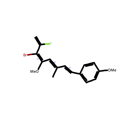 C=C(F)\C(Br)=C(/C=C(C)/C=C/c1ccc(OC)cc1)OC